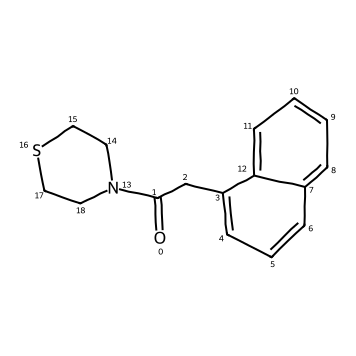 O=C(Cc1cccc2ccccc12)N1CCSCC1